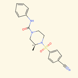 C[C@H]1CN(C(=O)Nc2ccccc2)CCN1S(=O)(=O)c1ccc(C#N)cc1